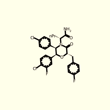 CCC[C@H](C(N)=O)N1C(=O)[C@H](Cc2ccc(F)cc2)O[C@@H](c2ccc(Cl)c(F)c2)[C@H]1c1ccc(Cl)cc1